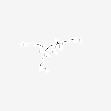 CCCCNCC(C)(CNCCCC)CNC(=O)NCCCC